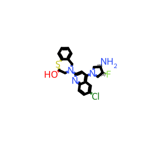 N[C@H]1CN(c2cc(N3Cc4ccccc4SC(O)C3)nc3ccc(Cl)cc23)C[C@@H]1F